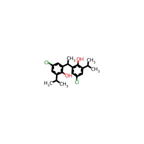 CC(C)c1cc(Cl)cc(C(C)c2cc(Cl)cc(C(C)C)c2O)c1O